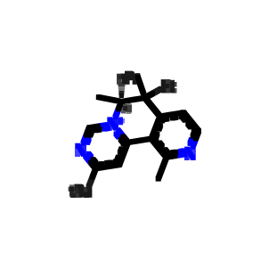 CCC[C@@]1(C)[n+]2cnc(C(C)(C)C)cc2-c2c(ccnc2C)C1(C)CC